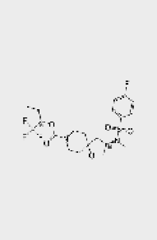 CC[C@@H](OC(=O)N1CCC2(CC1)C[C@@H](N(C)S(=O)(=O)c1ccc(F)cc1)CO2)C(F)(F)F